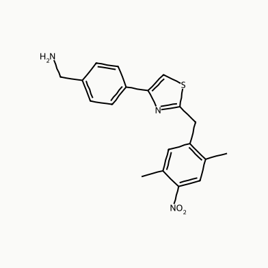 Cc1cc([N+](=O)[O-])c(C)cc1Cc1nc(-c2ccc(CN)cc2)cs1